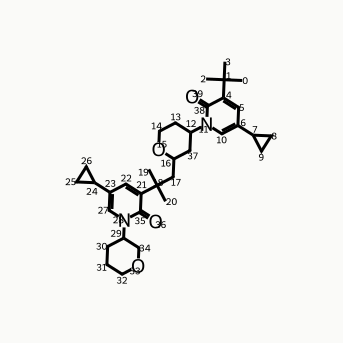 CC(C)(C)c1cc(C2CC2)cn(C2CCOC(CC(C)(C)c3cc(C4CC4)cn(C4CCCOC4)c3=O)C2)c1=O